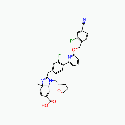 CC12C=CC(C(=O)O)=CC1N(C[C@@H]1CCCO1)C(Cc1ccc(-c3cccc(OCc4ccc(C#N)cc4F)n3)c(F)c1)=N2